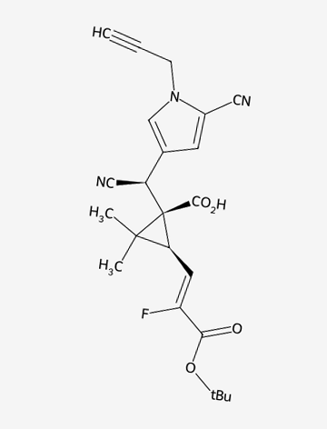 C#CCn1cc([C@H](C#N)[C@]2(C(=O)O)[C@@H](C=C(F)C(=O)OC(C)(C)C)C2(C)C)cc1C#N